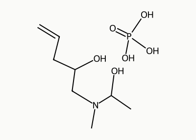 C=CCC(O)CN(C)C(C)O.O=P(O)(O)O